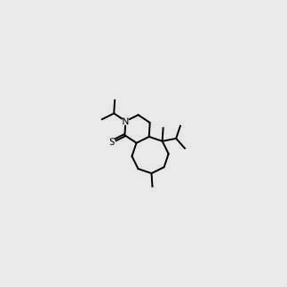 CC1CCC2C(=S)N(C(C)C)CCC2C(C)(C(C)C)CC1